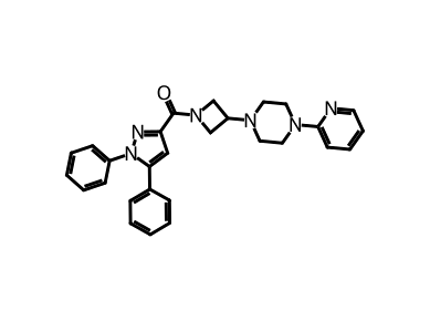 O=C(c1cc(-c2ccccc2)n(-c2ccccc2)n1)N1CC(N2CCN(c3ccccn3)CC2)C1